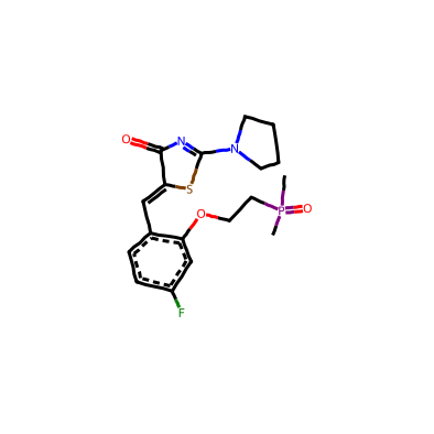 CP(C)(=O)CCOc1cc(F)ccc1/C=C1\SC(N2CCCC2)=NC1=O